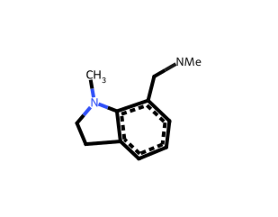 CNCc1cccc2c1N(C)CC2